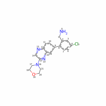 NCc1cc(Cl)ccc1-c1ccc2ncc(N3CCOCC3)nc2c1